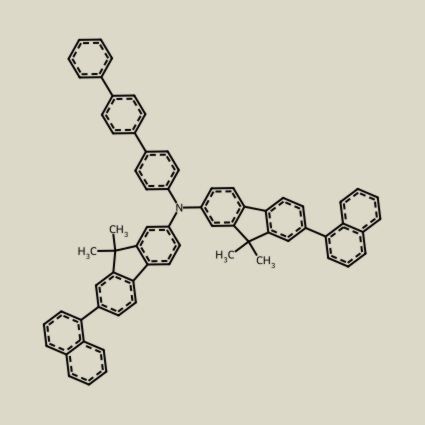 CC1(C)c2cc(-c3cccc4ccccc34)ccc2-c2ccc(N(c3ccc(-c4ccc(-c5ccccc5)cc4)cc3)c3ccc4c(c3)C(C)(C)c3cc(-c5cccc6ccccc56)ccc3-4)cc21